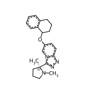 CN1CCC[C@@]1(C)c1nnc2ccc(OC3CCCc4ccccc43)cn12